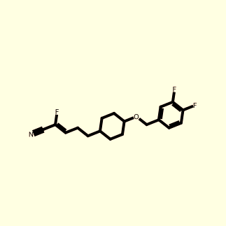 N#CC(F)=CCCC1CCC(OCc2ccc(F)c(F)c2)CC1